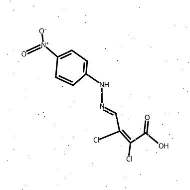 O=C(O)/C(Cl)=C(Cl)\C=N\Nc1ccc([N+](=O)[O-])cc1